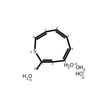 Cc1cccccccs1.Cl.O.O.O